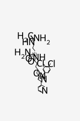 C=C(N)NCCC[C@H](NC(=O)CCCOc1cc(-c2cccnc2)nn1-c1ccc(Cl)c(Cl)c1)C(N)=O